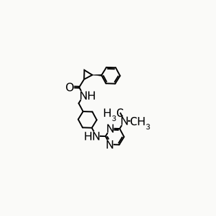 CN(C)c1ccnc(NC2CCC(CNC(=O)C3C[C@H]3c3ccccc3)CC2)n1